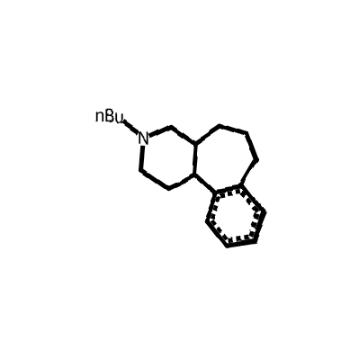 CCCCN1CCC2c3ccccc3CCCC2C1